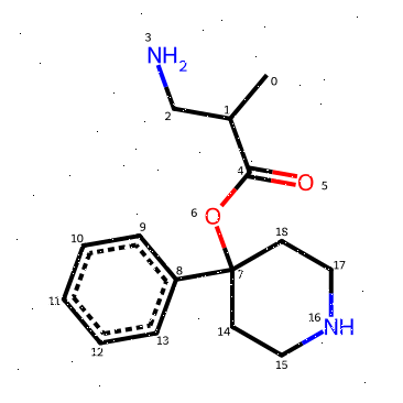 CC(CN)C(=O)OC1(c2ccccc2)CCNCC1